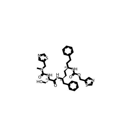 CN(Cc1cncs1)C(=O)N[C@@H](CO)C(=O)N[C@@H](CC[C@@H](CCc1ccccc1)NC(=O)OCc1cncs1)Cc1ccccc1